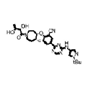 C=C(O)[C@H](O)C(=O)N1CC[C@@H](F)[C@@H](Oc2ccc(-c3ncnc(Nc4cnn(C(C)(C)C)c4)n3)cc2C#N)CC1